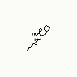 CCCCONC[C@@H](CC1CCCC1)C(=O)O